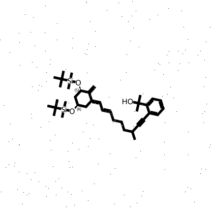 C=C1C(=CC=CCCCC(C)C#Cc2ccccc2C(C)(C)O)C[C@@H](O[Si](C)(C)C(C)(C)C)C[C@@H]1O[Si](C)(C)C(C)(C)C